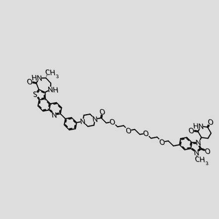 C[C@@H]1CNc2c(sc3ccc4nc(-c5cccc(N6CCN(C(=O)COCCOCCOCCOCCc7ccc8c(c7)n(C)c(=O)n8C7CCC(=O)NC7=O)CC6)c5)ccc4c23)C(=O)N1